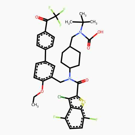 CCOc1ccc(-c2ccc(C(=O)C(F)(F)F)cc2)cc1CN(C(=O)c1sc2c(F)ccc(F)c2c1Cl)C1CCC(CN(C(=O)O)C(C)(C)C)CC1